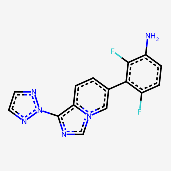 Nc1ccc(F)c(-c2ccc3c(-n4nccn4)ncn3c2)c1F